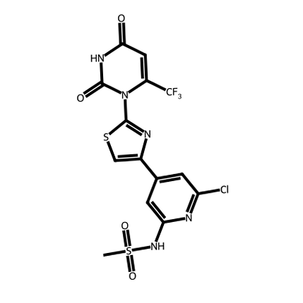 CS(=O)(=O)Nc1cc(-c2csc(-n3c(C(F)(F)F)cc(=O)[nH]c3=O)n2)cc(Cl)n1